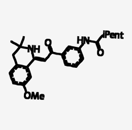 CCCC(C)C(=O)Nc1cccc(C(=O)C=C2NC(C)(C)Cc3ccc(OC)cc32)c1